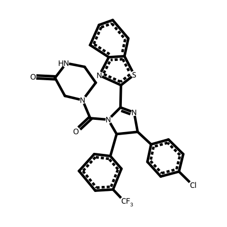 O=C1CN(C(=O)N2C(c3nc4ccccc4s3)=NC(c3ccc(Cl)cc3)C2c2cccc(C(F)(F)F)c2)CCN1